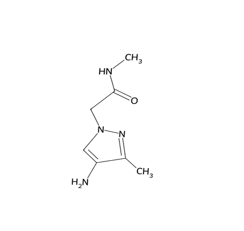 CNC(=O)Cn1cc(N)c(C)n1